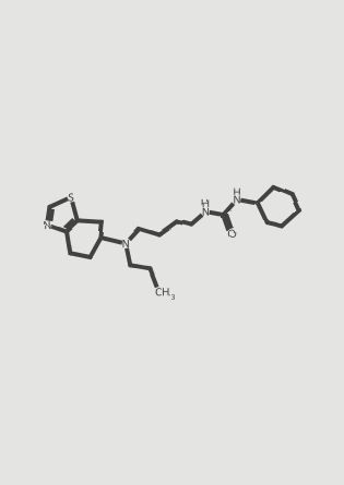 CCCN(CCCCNC(=O)NC1CCCCC1)C1CCc2ncsc2C1